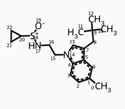 Cc1ccc2c(c1)c(CC(C)(C)C)cn2CCN[S+]([O-])C1CC1